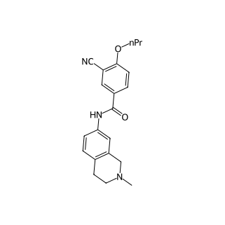 CCCOc1ccc(C(=O)Nc2ccc3c(c2)CN(C)CC3)cc1C#N